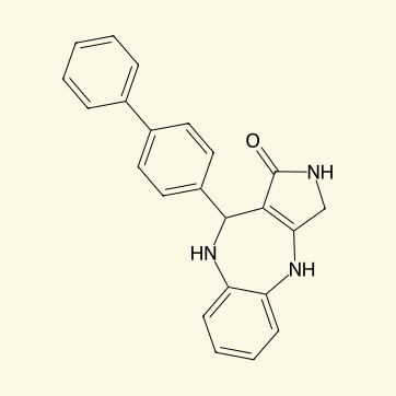 O=C1NCC2=C1C(c1ccc(-c3ccccc3)cc1)Nc1ccccc1N2